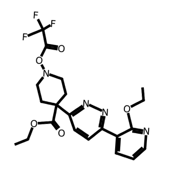 CCOC(=O)C1(c2ccc(-c3cccnc3OCC)nn2)CCN(OC(=O)C(F)(F)F)CC1